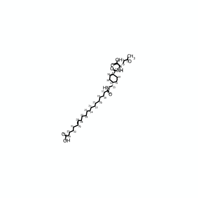 CC(=O)CC[C@H](NC(=O)[C@H]1CC[C@H](CNC(=O)CCCCCCCCCCCCCCCCCCC(=O)O)CC1)C(=O)O